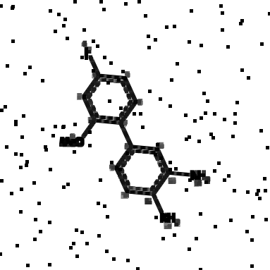 COc1cc(F)ccc1-c1ccc(N)c(N)c1